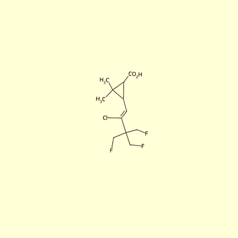 CC1(C)C(C=C(Cl)C(CF)(CF)CF)C1C(=O)O